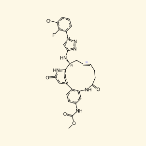 COC(=O)Nc1ccc2c(c1)NC(=O)CC/C=C/C[C@H](Nc1cn(-c3cccc(Cl)c3F)nn1)c1cc-2cc(=O)[nH]1